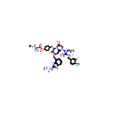 CN(C)C(=O)Oc1ccc(C[C@H]2C(=O)N(Cc3cccc4sc(N)nc34)C[C@H]3N2C(=O)CN3N(CC#N)C(=O)NCc2ccc(Cl)c(Cl)c2)cc1